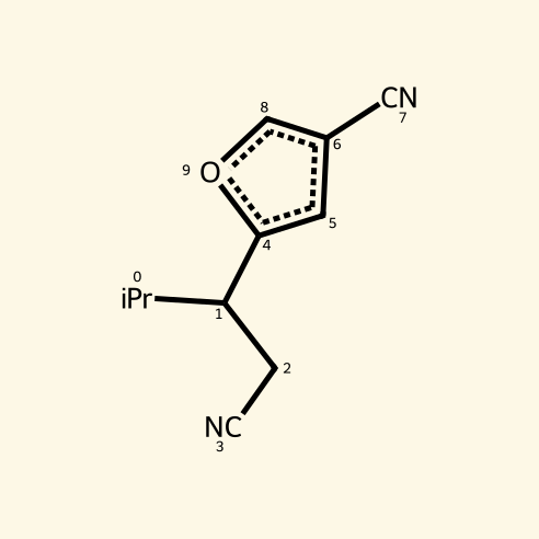 CC(C)C(CC#N)c1cc(C#N)co1